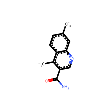 Cc1c(C(N)=O)cnc2cc(C(F)(F)F)ccc12